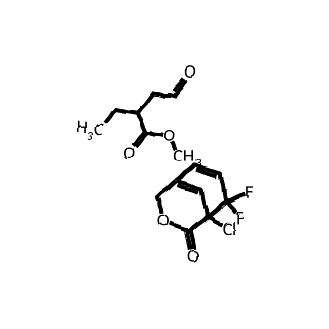 CCC(CC=O)C(=O)OC.O=C1OCC2=CC1(Cl)C(F)(F)C=C2